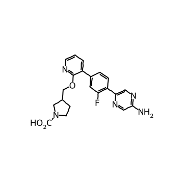 Nc1cnc(-c2ccc(-c3cccnc3OCC3CCN(C(=O)O)C3)cc2F)cn1